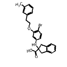 Cc1cccc(CCOc2cc(NC3(C(=O)O)Cc4ccccc4C3)ccc2Br)c1